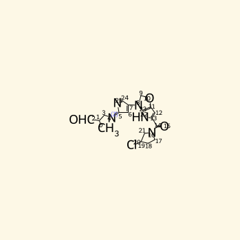 CC(C=O)C/N=C1/C=C(N2COc3cc(C(=O)N4CCC(Cl)C4)[nH]c32)C=N1